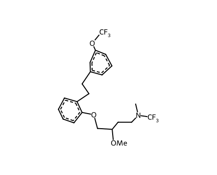 COC(CCN(C)C(F)(F)F)COc1ccccc1CCc1cccc(OC(F)(F)F)c1